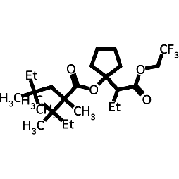 CCC(C(=O)OCC(F)(F)F)C1(OC(=O)C(C)(CC(C)(C)CC)C(C)(C)CC)CCCC1